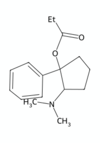 CCC(=O)OC1(c2ccccc2)CCCC1N(C)C